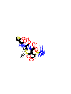 O=C([O-])CC(Sc1nnn[nH]1)C1=C(C(=O)[O-])N2C(=O)C(NC(=O)Cc3ccsc3O)[C@@H]2SC1.[K+].[K+]